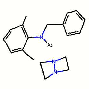 C1CN2CCN12.CC(=O)N(Cc1ccccc1)c1c(C)cccc1C